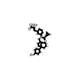 COC(=O)/C=C/c1cccc(N(CC2CCC3(c4ccc(C(C)C)cc4)CCCC2C3)C(=O)C2CC2)c1